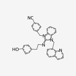 N#Cc1ccc(Cn2/c(=N\CCc3ccc(O)cc3)n(Cc3cccc4cccnc34)c3ccccc32)cc1